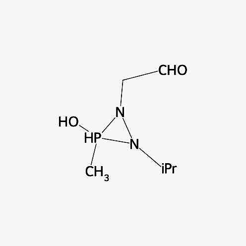 CC(C)N1N(CC=O)[PH]1(C)O